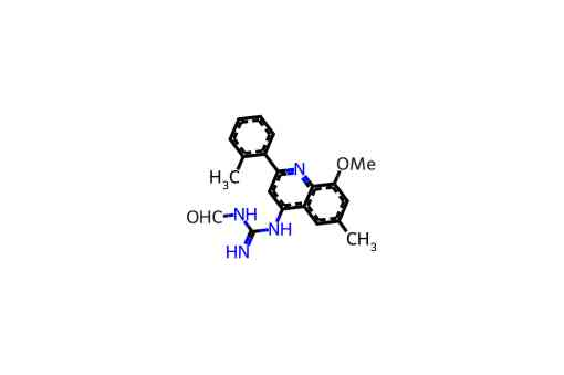 COc1cc(C)cc2c(NC(=N)NC=O)cc(-c3ccccc3C)nc12